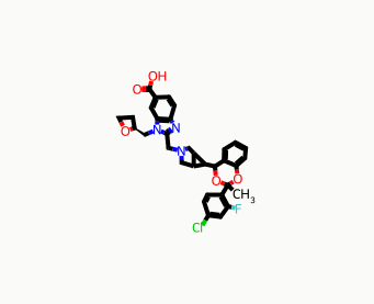 CC1(c2ccc(Cl)cc2F)Oc2ccccc2C(C2C3CN(Cc4nc5ccc(C(=O)O)cc5n4C[C@@H]4CCO4)CC32)O1